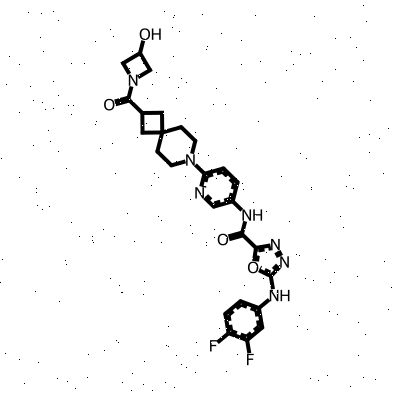 O=C(Nc1ccc(N2CCC3(CC2)CC(C(=O)N2CC(O)C2)C3)nc1)c1nnc(Nc2ccc(F)c(F)c2)o1